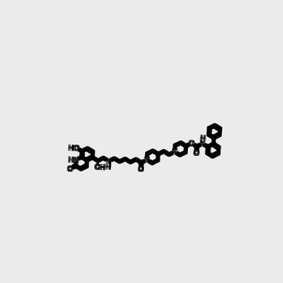 O=C(Nc1ccccc1-c1ccccc1)OC1CCN(CCC2CCN(C(=O)CCCCCNC[C@H](O)c3ccc(O)c4[nH]c(=O)ccc34)CC2)CC1